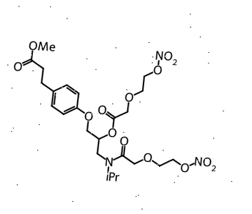 COC(=O)CCc1ccc(OCC(CN(C(=O)COCCO[N+](=O)[O-])C(C)C)OC(=O)COCCO[N+](=O)[O-])cc1